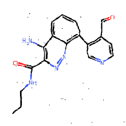 CCCNC(=O)c1nnc2c(-c3cnccc3C=O)cccc2c1N